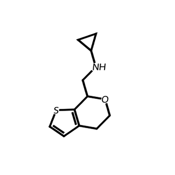 c1cc2c(s1)C(CNC1CC1)OCC2